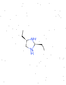 CC[C@@H]1CN[C@H](CC)N1